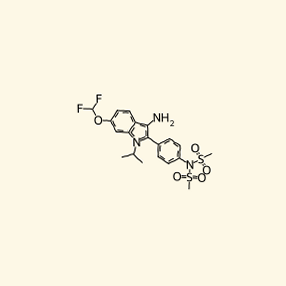 CC(C)n1c(-c2ccc(N(S(C)(=O)=O)S(C)(=O)=O)cc2)c(N)c2ccc(OC(F)F)cc21